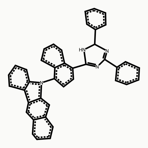 c1ccc(C2=NC(c3ccccc3)NC(c3ccc(-n4c5ccccc5c5cc6ccccc6cc54)c4ccccc34)=N2)cc1